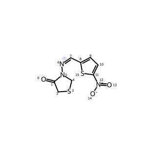 O=C1CSCN1/N=C\c1ccc([N+](=O)[O-])s1